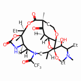 CCO[C@@H](O[C@@H]1[C@@H](C)C(=O)[C@]2(C)CCO[C@@]1(C)C[C@@H](C)CN(C(=O)C(F)(F)F)[C@H](C)[C@H]1NC(=O)O[C@]1(C)[C@@H](CC)OC2=O)C(O)C(CC)N(C)C